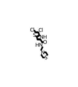 O=C(NCCN1CCSCC1)c1cc2sc(Cl)c(Cl)c2[nH]1